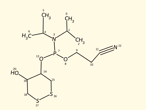 CC(C)N(C(C)C)P(OCCC#N)OC1CSSCC1O